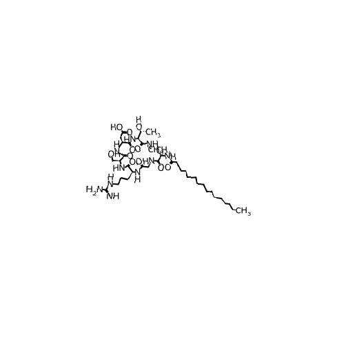 CCCCCCCCCCCCCCCC(=O)N[C@@H](C)C(=O)NCC(=O)N[C@@H](CCCNC(=N)N)C(=O)N[C@@H](CO)C(=O)N[C@@H](CC(=O)O)C(=O)N[C@H](C(=O)NC)[C@@H](C)O